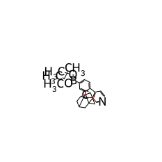 CC1(C)OB(c2ccc3c(c2)C2(c4cnccc4-3)C3CC4CC(C3)C3CC32C4)OC1(C)C